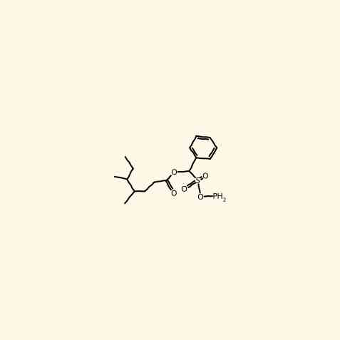 CCC(C)C(C)CCC(=O)OC(c1ccccc1)S(=O)(=O)OP